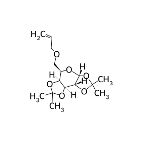 C=CCOC[C@H]1O[C@@H]2OC(C)(C)O[C@@H]2[C@H]2OC(C)(C)O[C@H]21